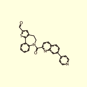 O=Cc1cc2c(s1)-c1ccccc1N(C(=O)c1ccc3ccc(-c4ccncc4)cc3n1)CC2